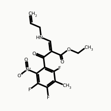 C=CCN/C=C(/C(=O)OCC)C(=O)c1c(F)c(C)c(F)c(F)c1[N+](=O)[O-]